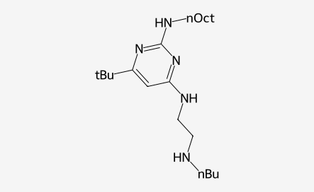 CCCCCCCCNc1nc(NCCNCCCC)cc(C(C)(C)C)n1